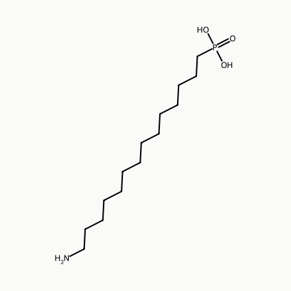 NCCCCCCCCCCCCCCP(=O)(O)O